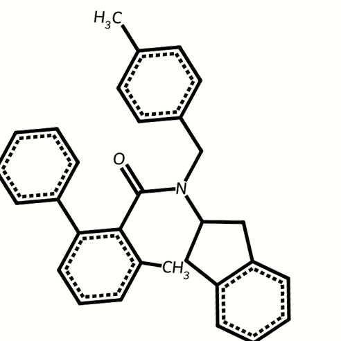 Cc1ccc(CN(C(=O)c2c(C)cccc2-c2ccccc2)C2Cc3ccccc3C2)cc1